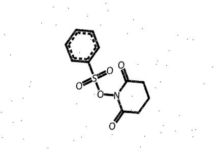 O=C1CCCC(=O)N1OS(=O)(=O)c1ccccc1